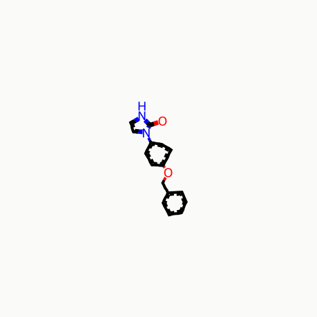 O=c1[nH]ccn1-c1ccc(OCc2ccccc2)cc1